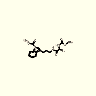 CCC(NC(=O)OC(C)(C)C)C(=O)NCCCc1cn(C(=O)OC(C)(C)C)c2ccccc12